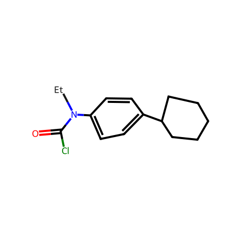 CCN(C(=O)Cl)c1ccc(C2CCCCC2)cc1